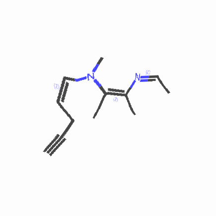 C#CC/C=C\N(C)/C(C)=C(C)\N=C/C